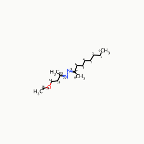 CCCCCCC/C(C)=N/N=C(\C)CCOCC